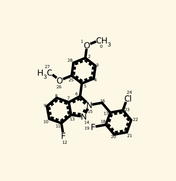 COc1ccc(-c2c3cccc(F)c3nn2Cc2c(F)cccc2Cl)c(OC)c1